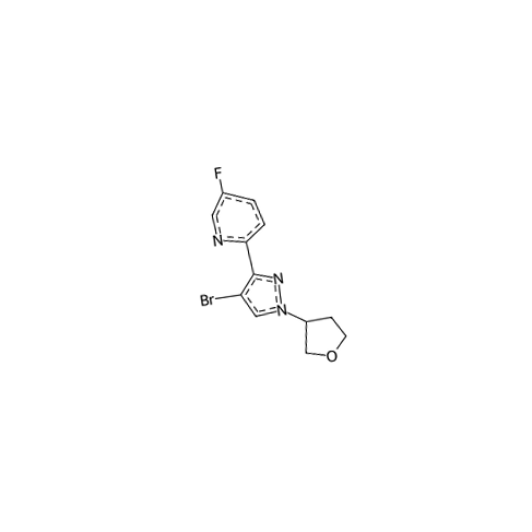 Fc1ccc(-c2nn(C3CCOC3)cc2Br)nc1